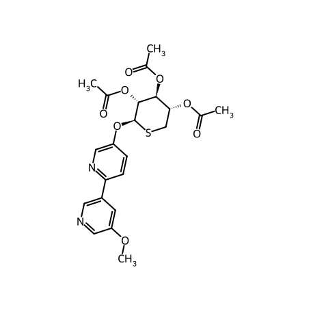 COc1cncc(-c2ccc(O[C@@H]3SC[C@@H](OC(C)=O)[C@H](OC(C)=O)[C@H]3OC(C)=O)cn2)c1